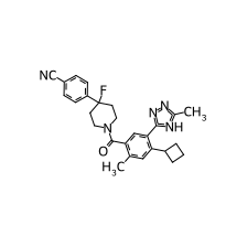 Cc1nnc(-c2cc(C(=O)N3CCC(F)(c4ccc(C#N)cc4)CC3)c(C)cc2C2CCC2)[nH]1